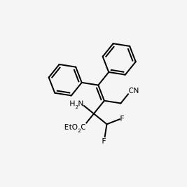 CCOC(=O)C(N)(C(CC#N)=C(c1ccccc1)c1ccccc1)C(F)F